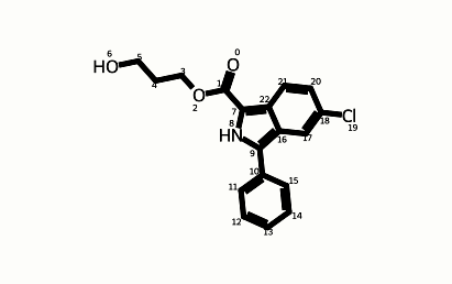 O=C(OCCCO)c1[nH]c(-c2ccccc2)c2cc(Cl)ccc12